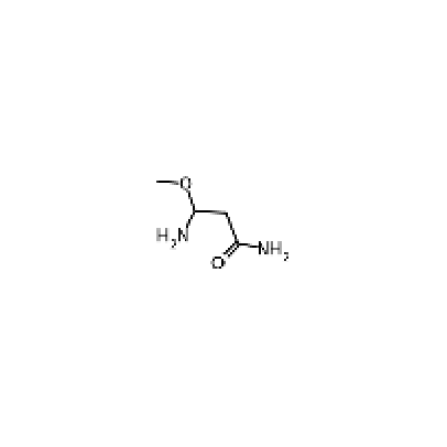 COC(N)CC(N)=O